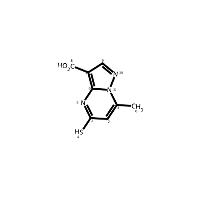 Cc1cc(S)nc2c(C(=O)O)cnn12